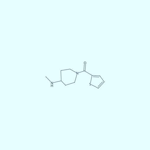 CNC1CCN(C(=O)c2cccs2)CC1